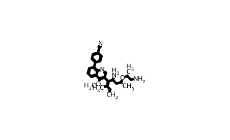 C=C/C(C)=C(/c1cnc2c(-c3ccc(C#N)cc3)cccc2c1OC)C(N)C[C@H](C)O[C@H](C)CN